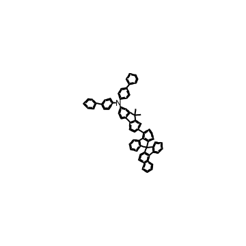 CC1(C)c2cc(-c3cccc4c3-c3ccccc3C43c4ccccc4-c4c3ccc3ccccc43)ccc2-c2ccc(N(c3ccc(-c4ccccc4)cc3)c3ccc(-c4ccccc4)cc3)cc21